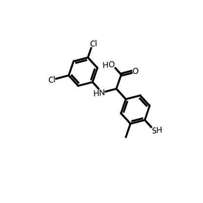 Cc1cc(C(Nc2cc(Cl)cc(Cl)c2)C(=O)O)ccc1S